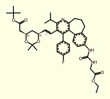 CCOC(=O)CNC(=O)Nc1ccc2c(c1)CCCc1nc(C(C)C)c(/C=C/[C@@H]3C[C@H](CC(=O)OC(C)(C)C)OC(C)(C)O3)c(-c3ccc(F)cc3)c1-2